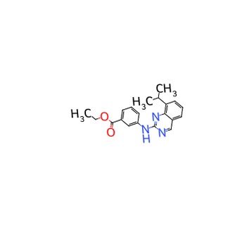 CCOC(=O)c1cccc(Nc2ncc3cccc(C(C)C)c3n2)c1